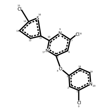 Clc1cc(Oc2cc(Cl)nc(-c3ccc(Cl)s3)n2)ccn1